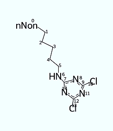 CCCCCCCCCCCCCCNc1nc(Cl)nc(Cl)n1